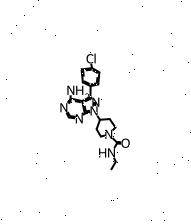 CCNC(=O)N1CCC(n2nc(-c3ccc(Cl)cc3)c3c(N)ncnc32)CC1